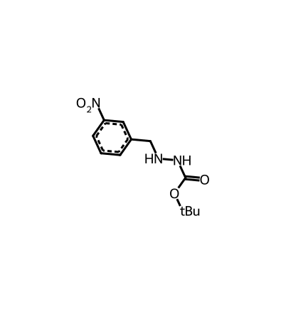 CC(C)(C)OC(=O)NNCc1cccc([N+](=O)[O-])c1